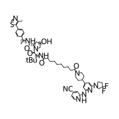 Cc1ncsc1-c1ccc([C@H](C)NC(=O)[C@@H]2C[C@@H](O)CN2C(=O)[C@@H](NC(=O)CCCCCCCCC(=O)N2CCC(c3cc(Nc4cc(C#N)ccn4)nc(N4CCC(F)(F)C4)c3)CC2)C(C)(C)C)cc1